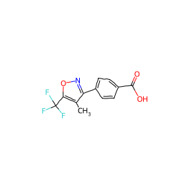 Cc1c(-c2ccc(C(=O)O)cc2)noc1C(F)(F)F